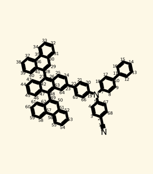 N#Cc1ccc(N(c2ccc(-c3ccccc3)cc2)c2ccc(-c3ccc4c(-c5cc6ccccc6c6ccccc56)c5ccccc5c(-c5cc6ccccc6c6ccccc56)c4c3)cc2)cc1